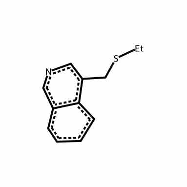 CCSCc1cncc2ccccc12